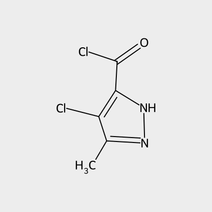 Cc1n[nH]c(C(=O)Cl)c1Cl